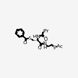 CC(=O)SCCNC(=O)[C@H](CSC(=O)c1ccccc1)NC(=O)C(C)C